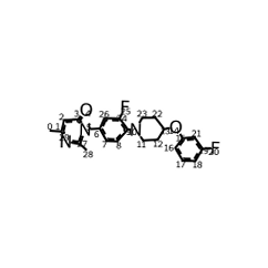 Cc1cc(=O)n(-c2ccc(N3CCC(Oc4cccc(F)c4)CC3)c(F)c2)c(C)n1